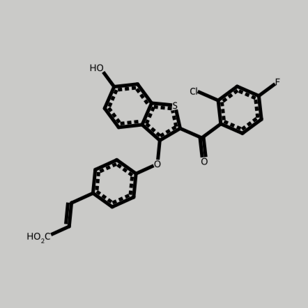 O=C(O)/C=C/c1ccc(Oc2c(C(=O)c3ccc(F)cc3Cl)sc3cc(O)ccc23)cc1